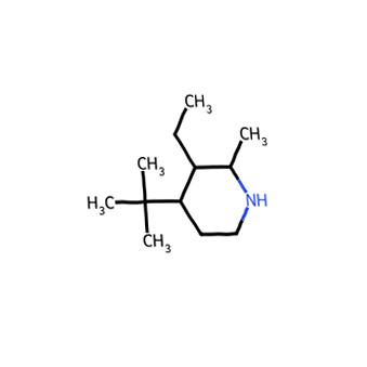 CCC1C(C)NCCC1C(C)(C)C